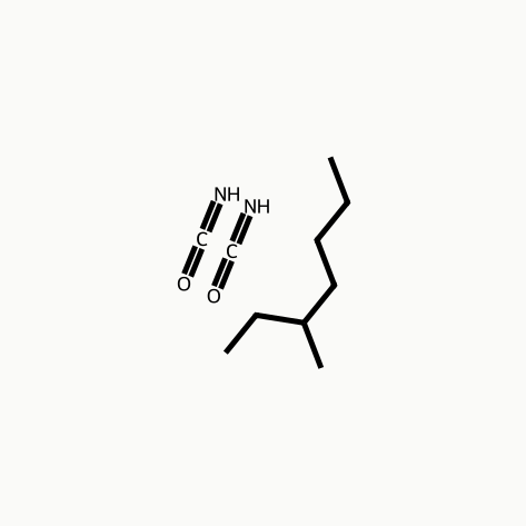 CCCCC(C)CC.N=C=O.N=C=O